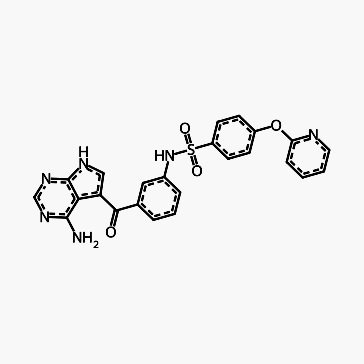 Nc1ncnc2[nH]cc(C(=O)c3cccc(NS(=O)(=O)c4ccc(Oc5ccccn5)cc4)c3)c12